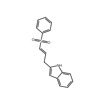 O=S(=O)(C=CCc1cc2ccccc2[nH]1)c1ccccc1